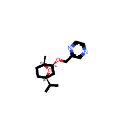 CC(C)[C@@]12CC[C@@](C)(O1)[C@@H](OCc1cnccn1)C2